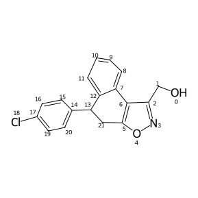 OCc1noc2c1-c1ccccc1C(c1ccc(Cl)cc1)C2